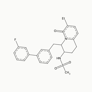 CCc1ccc2n(c1=O)C(Cc1cccc(-c3cccc(F)c3)c1)C(NS(C)(=O)=O)CC2